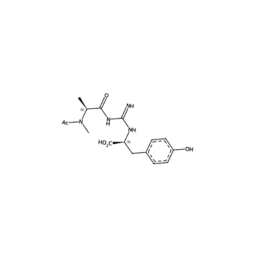 CC(=O)N(C)[C@@H](C)C(=O)NC(=N)N[C@@H](Cc1ccc(O)cc1)C(=O)O